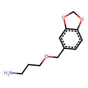 NCCCOCc1ccc2c(c1)OCO2